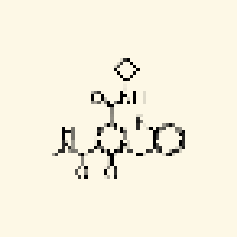 CNC(=O)c1cc(C(=O)NC2CCC2)cn(Cc2ccccc2F)c1=O